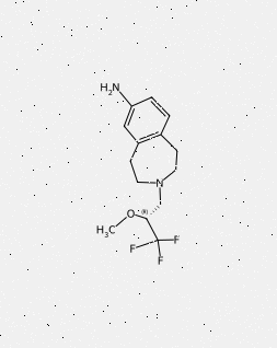 CO[C@H](CN1CCc2ccc(N)cc2CC1)C(F)(F)F